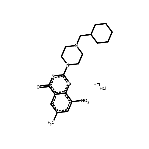 Cl.Cl.O=c1nc(N2CCN(CC3CCCCC3)CC2)sc2c([N+](=O)[O-])cc(C(F)(F)F)cc12